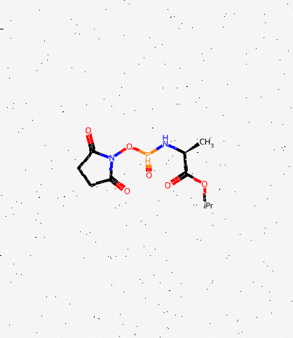 CC(C)OC(=O)[C@H](C)N[PH](=O)ON1C(=O)CCC1=O